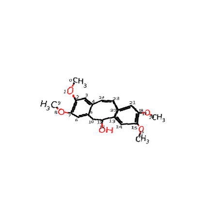 COc1cc2c(cc1OC)CC(O)c1cc(OC)c(OC)cc1/C=C\2